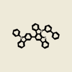 c1ccc(-c2cccc(-n3c4ccccc4c4c(-c5ccc6c(c5)c5ccccc5n6-c5ccccc5)cc5c6ccccc6sc5c43)c2)cc1